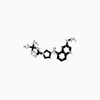 COc1cnc2cccc(N[C@@H]3CCN(C(=O)OC(C)(C)C)C3)c2c1